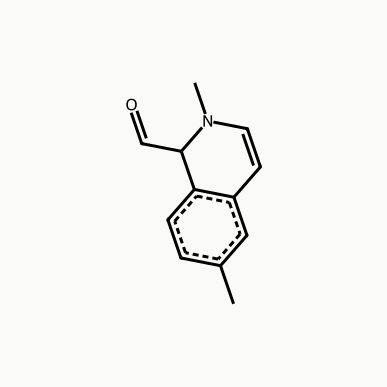 Cc1ccc2c(c1)C=CN(C)C2C=O